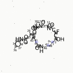 CC1=C\[C@@H](O)C[C@@H](F)Cc2nc(co2)C(=O)N2CCC[C@@H]2C(=O)O[C@H]([C@H](C)COC(=O)Nc2ccc(C)cc2)[C@H](C)/C=C/C(=O)NC\C=C\1